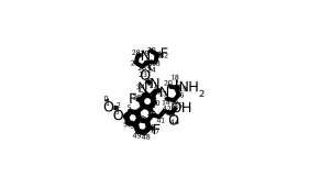 COCOc1cc(-c2c(F)cc3c(N4CCC[C@@](C)(N)C4)nc(OC[C@@]45CCCN4C[C@H](F)C5)nc3c2F)c2c(CCCC(=O)O)c(F)ccc2c1